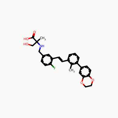 Cc1c(C=Cc2cc(CNC(C)(CO)C(=O)O)ccc2F)cccc1-c1ccc2c(c1)OCCO2